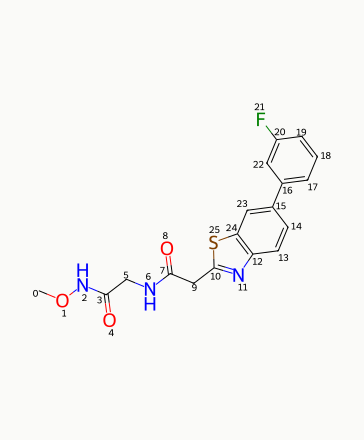 CONC(=O)CNC(=O)Cc1nc2ccc(-c3cccc(F)c3)cc2s1